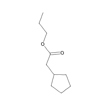 CCCOC(=O)CC1CCCC1